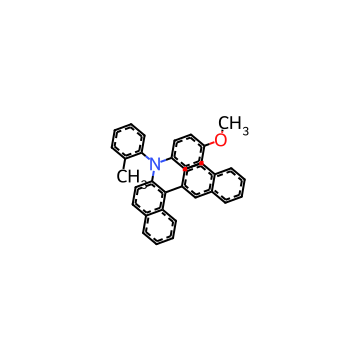 COc1ccc(N(c2ccccc2C)c2ccc3ccccc3c2-c2ccc3ccccc3c2)cc1